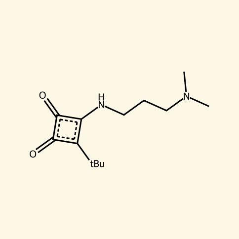 CN(C)CCCNc1c(C(C)(C)C)c(=O)c1=O